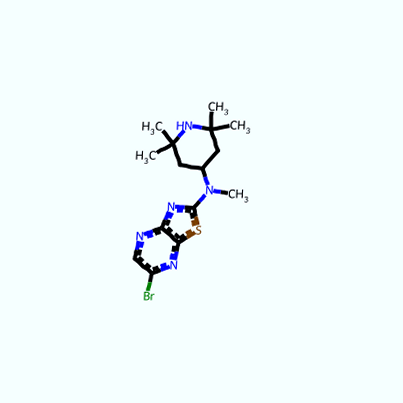 CN(c1nc2ncc(Br)nc2s1)C1CC(C)(C)NC(C)(C)C1